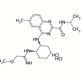 COCC(=N)N[C@@H]1CCCC[C@@H]1Nc1nc(C(=O)NC(C)C)nc2ccc(C)cc12.Cl.Cl